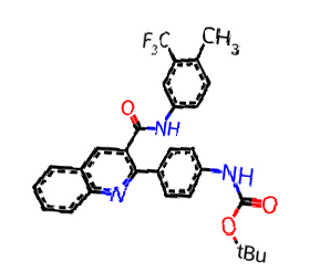 Cc1ccc(NC(=O)c2cc3ccccc3nc2-c2ccc(NC(=O)OC(C)(C)C)cc2)cc1C(F)(F)F